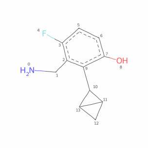 NCc1c(F)ccc(O)c1C1C2CC21